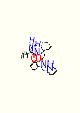 CC(C)[C@@H](N)C(=O)NCC1(CC(=O)NC(Cc2ccccn2)c2ccccc2)CCCCC1